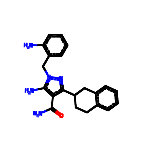 NC(=O)c1c(C2CCc3ccccc3C2)nn(Cc2ccccc2N)c1N